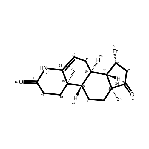 CC[C@@H]1CC(=O)[C@@]2(C)CC[C@H]3[C@@H](CC=C4NC(=O)CC[C@@]43C)[C@H]12